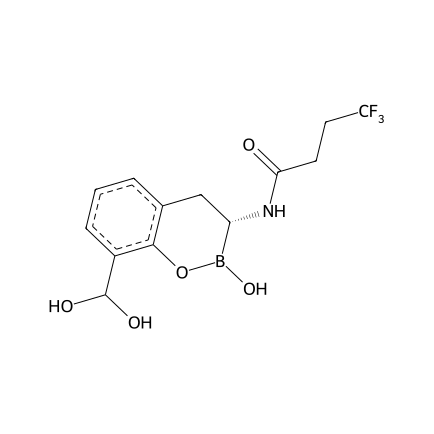 O=C(CCC(F)(F)F)N[C@H]1Cc2cccc(C(O)O)c2OB1O